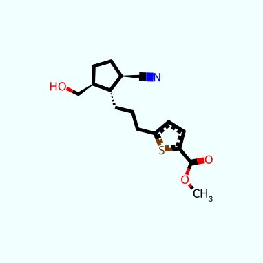 COC(=O)c1ccc(CCC[C@@H]2[C@@H](CO)CC[C@H]2C#N)s1